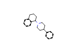 c1ccc(C2CCN(C3CCCc4ccccc43)CC2)cc1